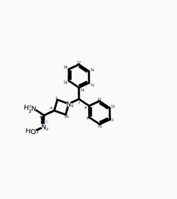 N/C(=N\O)C1CN(C(c2ccccc2)c2ccccc2)C1